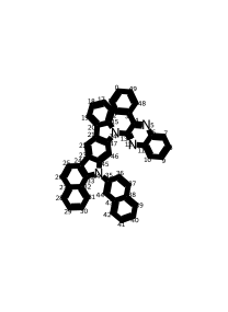 c1ccc(-c2nc3ccccc3nc2-n2c3ccccc3c3cc4c5ccc6ccccc6c5n(-c5ccc6ccccc6c5)c4cc32)cc1